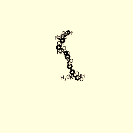 Cn1nc(C2CCC(=O)NC2=O)c2ccc(C3CCN(CC(=O)N4CCC5(CC4)C[C@@H](n4cnc6ccc(Oc7c(F)ccc(NS(=O)(=O)N8CC[C@@H](F)C8)c7C#N)cc6c4=O)CO5)CC3)cc21